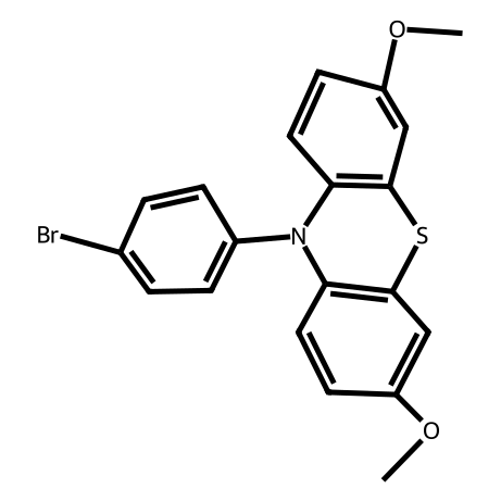 COc1ccc2c(c1)Sc1cc(OC)ccc1N2c1ccc(Br)cc1